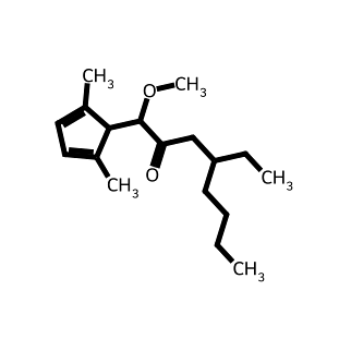 CCCCC(CC)CC(=O)C(OC)C1C(C)=CC=C1C